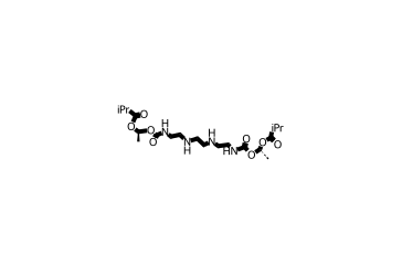 CC(C)C(=O)O[C@H](C)OC(=O)NCCNCCNCCNC(=O)O[C@@H](C)OC(=O)C(C)C